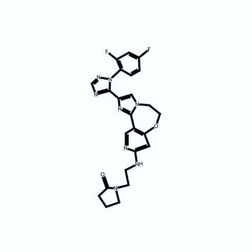 O=C1CCCN1CCNc1cc2c(cn1)-c1nc(-c3ncnn3-c3ccc(F)cc3F)cn1CCO2